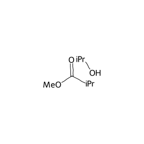 CC(C)O.COC(=O)C(C)C